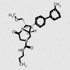 CCCNC(=O)N1CC(=O)N2[C@H](COC)[C@H](c3ccc(-c4cccc(C)c4)cc3)[C@@H]2C1